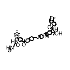 CC(C)(O)c1cc2nn(C3CCN(CCC4CCC5(CC4)CCN(C(=O)c4ccc(OC(F)(F)F)c(NC(=O)CCNC=O)c4)CC5)CC3)cc2cc1NC(=O)c1cccc(C(F)(F)F)n1